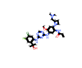 C=CC(=O)Nc1cc(Nc2ncnc(Nc3cc(Cl)c(F)cc3C(C)(C)O)n2)c(OC)cc1N1CCC1CN(C)C